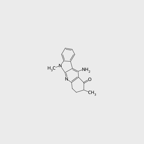 CC1CCc2nc3c(c(N)c2C1=O)c1ccccc1n3C